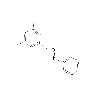 Cc1cc(C)cc(C)c1.O=Pc1ccccc1